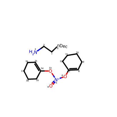 CCCCCCCCCCCCN.O=[N+](OC1=CCCCC1)OC1=CCCCC1